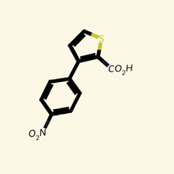 O=C(O)c1sccc1-c1ccc([N+](=O)[O-])cc1